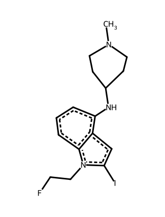 CN1CCC(Nc2cccc3c2cc(I)n3CCF)CC1